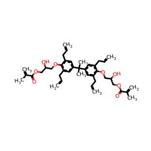 C=CCc1cc(C(C)(C)c2cc(CC=C)c(OCC(O)COC(=O)C(=C)C)c(CC=C)c2)cc(CC=C)c1OCC(O)COC(=O)C(=C)C